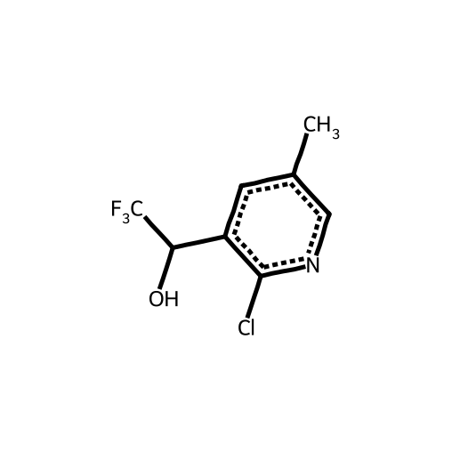 Cc1cnc(Cl)c(C(O)C(F)(F)F)c1